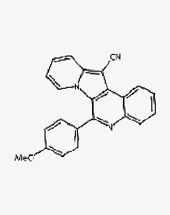 COc1ccc(-c2nc3ccccc3c3c(C#N)c4ccccn4c23)cc1